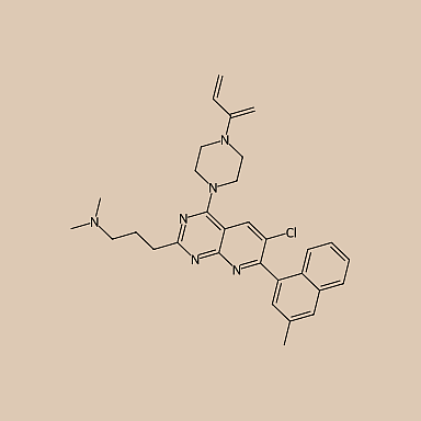 C=CC(=C)N1CCN(c2nc(CCCN(C)C)nc3nc(-c4cc(C)cc5ccccc45)c(Cl)cc23)CC1